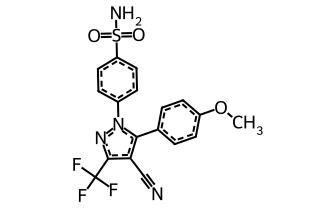 COc1ccc(-c2c(C#N)c(C(F)(F)F)nn2-c2ccc(S(N)(=O)=O)cc2)cc1